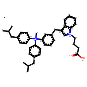 CC(C)Cc1ccc([N+](C)(c2ccc(CC(C)C)cc2)c2cccc(Cc3cn(CCCC(=O)O)c4ccccc34)c2)cc1